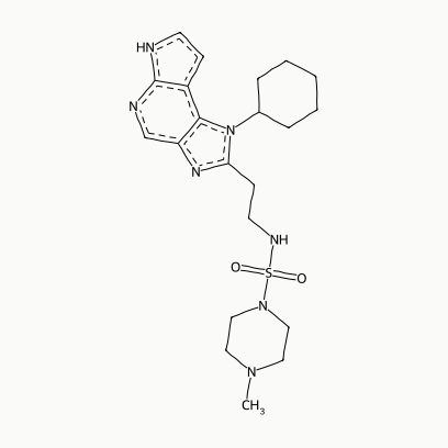 CN1CCN(S(=O)(=O)NCCc2nc3cnc4[nH]ccc4c3n2C2CCCCC2)CC1